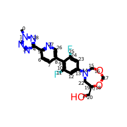 Cn1nnc(-c2ccc(-c3c(F)cc(N4COCO[C@@H](CO)C4)cc3F)cn2)n1